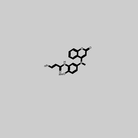 CCCC=CC(=O)Nc1cc(N(C)c2cc(=O)oc3ccccc23)ccc1OC